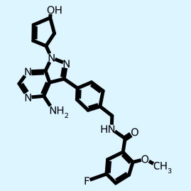 COc1ccc(F)cc1C(=O)NCc1ccc(-c2nn(C3C=CC(O)C3)c3ncnc(N)c23)cc1